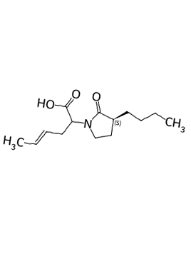 CC=CCC(C(=O)O)N1CC[C@H](CCCC)C1=O